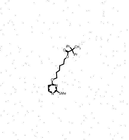 CSc1nccc(OCCCCCCOC(=O)C(C)(C(C)C)C(C)C)n1